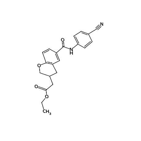 CCOC(=O)CC1COc2ccc(C(=O)Nc3ccc(C#N)cc3)cc2C1